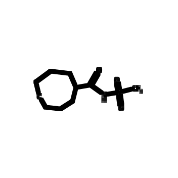 O=C(NS(=O)(=O)C(F)(F)F)C1CCCCCCC1